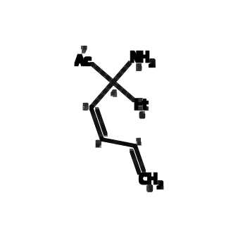 C=C/C=C\C(N)(CC)C(C)=O